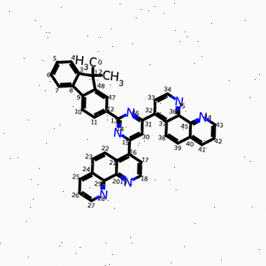 CC1(C)c2ccccc2-c2ccc(-c3nc(-c4ccnc5c4ccc4cccnc45)cc(-c4ccnc5c4ccc4cccnc45)n3)cc21